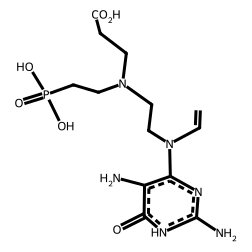 C=CN(CCN(CCC(=O)O)CCP(=O)(O)O)c1nc(N)[nH]c(=O)c1N